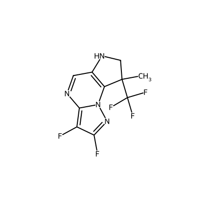 CC1(C(F)(F)F)CNc2cnc3c(F)c(F)nn3c21